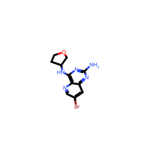 Nc1nc(NC2CCOC2)c2ncc(Br)cc2n1